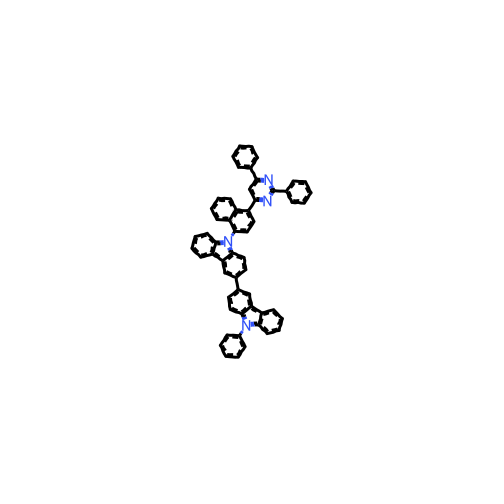 c1ccc(-c2cc(-c3ccc(-n4c5ccccc5c5cc(-c6ccc7c(c6)c6ccccc6n7-c6ccccc6)ccc54)c4ccccc34)nc(-c3ccccc3)n2)cc1